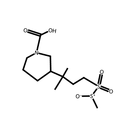 C[S+]([O-])S(=O)(=O)CCC(C)(C)C1CCCN(C(=O)O)C1